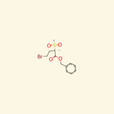 C[C@@](CCBr)(C(=O)OCc1ccccc1)S(C)(=O)=O